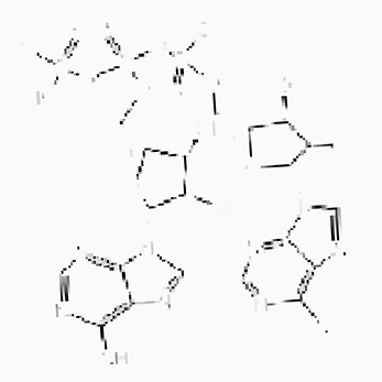 Nc1ncnc2c1ncn2[C@@H]1O[C@H](COP(=O)(O)OP(=O)(OC[C@H]2O[C@@H](n3cnc4c(N)ncnc43)[C@H](O)[C@@H]2O)OP(=O)(O)O)[C@@H](O)[C@H]1O